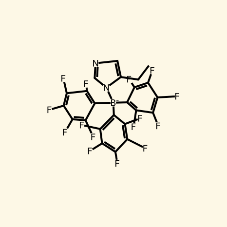 CCc1cncn1[B-](c1c(F)c(F)c(F)c(F)c1F)(c1c(F)c(F)c(F)c(F)c1F)c1c(F)c(F)c(F)c(F)c1F